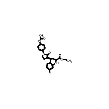 CCOC(=O)C1CC(=C2CCN(c3ccc(NC(C)=O)cc3)C2=O)c2ccc(Cl)cc2N1